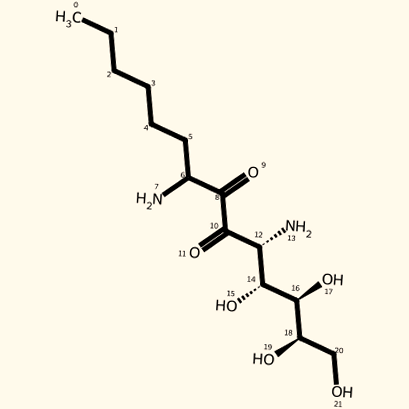 CCCCCCC(N)C(=O)C(=O)[C@H](N)[C@@H](O)[C@@H](O)[C@H](O)CO